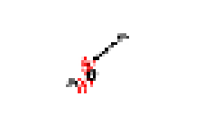 CC(C)CCCCCCCCOC(=O)OC1CCCC(OC(=O)OC(C)C)C1